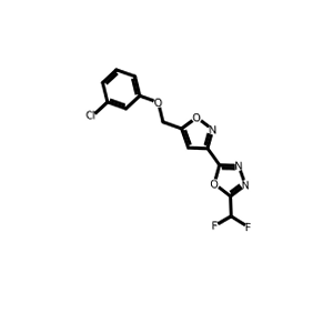 FC(F)c1nnc(-c2cc(COc3cccc(Cl)c3)on2)o1